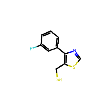 Fc1cccc(-c2ncsc2CS)c1